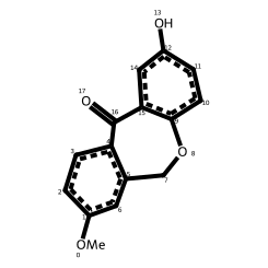 COc1ccc2c(c1)COc1ccc(O)cc1C2=O